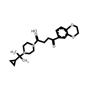 CC(C)(C1CC1)N1CCN(C(=O)CCC(=O)c2ccc3c(c2)OCCO3)CC1.Cl